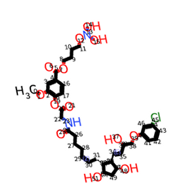 COc1cc(C(=O)OCCCCON(O)O)ccc1OC(=O)CNC(=O)CCC/C=C\C[C@@H]1[C@@H](/C=C/[C@@H](O)COc2cccc(Cl)c2)[C@H](O)C[C@@H]1O